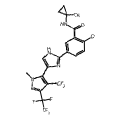 Cn1nc(C(F)(F)C(F)(F)F)c(C(F)(F)F)c1-c1c[nH]c(-c2ccc(Cl)c(C(=O)NC3(C#N)CC3)c2)n1